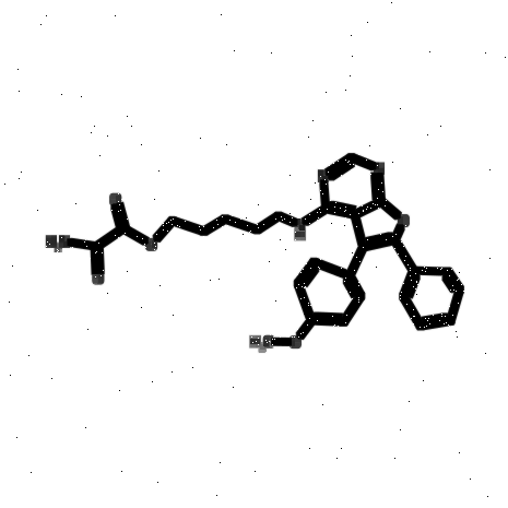 COc1ccc(-c2c(-c3ccccc3)oc3ncnc(NCCCCCOC(=O)C(N)=O)c23)cc1